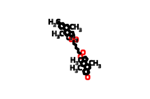 C=C1C=C2CC(C)C3C(C(C)CC4(C)C(OC(=O)CCCCCC(=O)OC5CCC6C7C(C)CC8=CC(=O)CCC8C7C(C)CC56C)CCC34)C2CC1